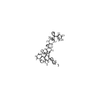 Cc1cccc(C(=O)Nc2cccc(OC3CCN(C(=O)c4cccs4)CC3)c2)c1-c1ccc(OC(F)(F)F)cc1